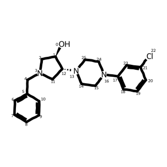 O[C@@H]1CN(Cc2ccccc2)C[C@H]1N1CCN(c2cccc(Cl)c2)CC1